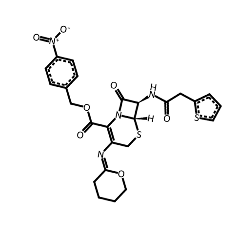 O=C(Cc1cccs1)N[C@@H]1C(=O)N2C(C(=O)OCc3ccc([N+](=O)[O-])cc3)=C(N=C3CCCCO3)CS[C@@H]12